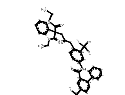 CCOC(=O)C(CC(=O)Cc1ccc(NC(=O)c2cc(C(F)(F)F)ccc2-c2ccccc2)cc1C(F)(F)F)(C(=O)OCC)c1ccccc1